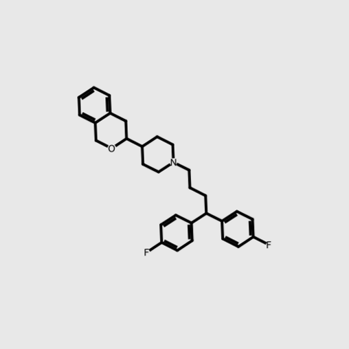 Fc1ccc(C(CCCN2CCC(C3Cc4ccccc4CO3)CC2)c2ccc(F)cc2)cc1